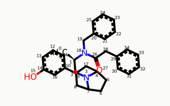 C[C@H](CN1C2CCC1CC(c1cccc(O)c1)C2)N(Cc1ccccc1)C(=O)Cc1ccccc1